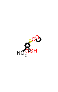 O=[N+]([O-])CC1OB(O)c2cc(SCOC3CCCCO3)ccc21